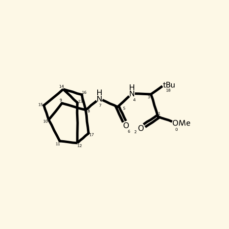 COC(=O)C(NC(=O)NC12CC3CC(CC(C3)C1)C2)C(C)(C)C